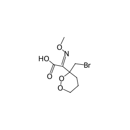 CO/N=C(\C(=O)O)C1(CBr)CCCOO1